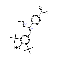 C/N=C/C(=C\c1cc(C(C)(C)C)c(O)c(C(C)(C)C)c1)c1ccc([N+](=O)[O-])cc1